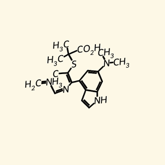 C=N/C=N\C(=C(/C)SC(C)(C)C(=O)O)c1cc(N(C)C)cc2[nH]ccc12